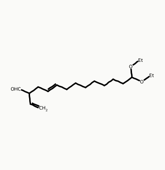 C=CC(C=O)CC=CCCCCCCCC(OCC)OCC